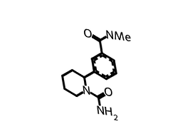 CNC(=O)c1cccc(C2CCCCN2C(N)=O)c1